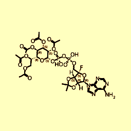 CC(=O)OCC(OC(C)=O)[C@H]1O[C@@H](OP(=O)(O)OP(=O)(O)OC[C@@]2(F)O[C@@H](n3cnc4c(N)ncnc43)[C@@H]3OC(C)(C)O[C@@H]32)[C@@H](OC(C)=O)[C@@H](OC(C)=O)[C@@H]1OC(C)=O